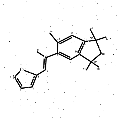 C/C(=C\c1ccno1)c1cc2c(cc1C)C(C)(C)CC2(C)C